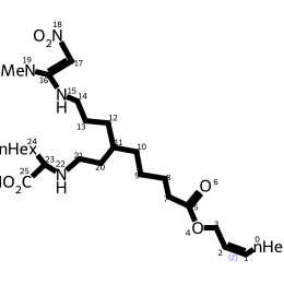 CCCCCC/C=C\COC(=O)CCCCC(CCCNC(=C[N+](=O)[O-])NC)CCNC(CCCCCC)C(=O)O